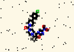 C[C@]1(CN2CCN(C(=O)N3CC=C(c4ccc(Cl)cc4)CC3)CC2)Cn2cc([N+](=O)[O-])nc2O1